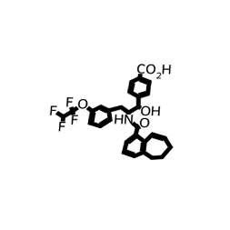 O=C(O)c1ccc(C(O)C(Cc2cccc(OC(F)(F)C(F)F)c2)NC(=O)c2cccc3c2C=CCCC3)cc1